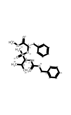 COC(=O)[C@H](Cc1ccccc1)OP(C)(=O)[C@@H](NC(=O)OCc1ccccc1)C(C)C